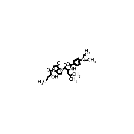 CCCC(O)C(=O)N1CC(=O)C2C1CCN2C(=O)C(CC(C)C)NC(=O)c1ccc(N(CC)CC)cc1